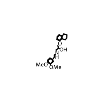 COc1ccc(CCNCC(O)COc2cccc3c2CCCC3)cc1OC